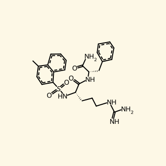 Cc1ccc(S(=O)(=O)N[C@@H](CCCNC(=N)N)C(=O)N[C@@H](Cc2ccccc2)C(N)=O)c2ccccc12